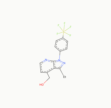 CCc1nn(-c2ccc(S(F)(F)(F)(F)F)cc2)c2nccc(CO)c12